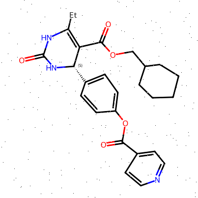 CCC1=C(C(=O)OCC2CCCCC2)[C@H](c2ccc(OC(=O)c3ccncc3)cc2)NC(=O)N1